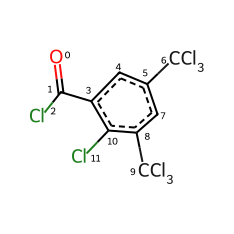 O=C(Cl)c1cc(C(Cl)(Cl)Cl)cc(C(Cl)(Cl)Cl)c1Cl